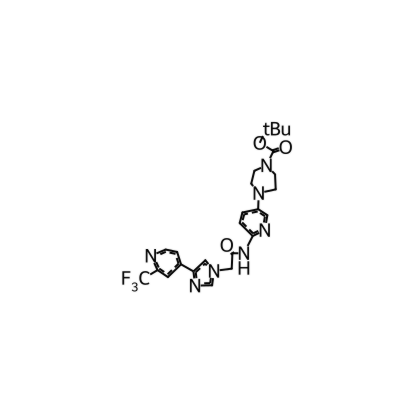 CC(C)(C)OC(=O)N1CCN(c2ccc(NC(=O)Cn3cnc(-c4ccnc(C(F)(F)F)c4)c3)nc2)CC1